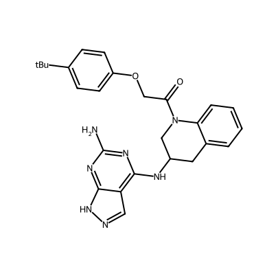 CC(C)(C)c1ccc(OCC(=O)N2CC(Nc3nc(N)nc4[nH]ncc34)Cc3ccccc32)cc1